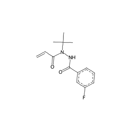 C=CC(=O)N(NC(=O)c1cccc(F)c1)C(C)(C)C